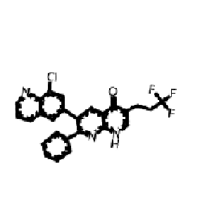 O=c1c(CCC(F)(F)F)c[nH]c2nc(-c3ccccc3)c(-c3cc(Cl)c4ncccc4c3)cc12